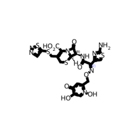 Nc1nc(/C(=N/OCc2cc(=O)c(O)cn2O)C(=O)N[C@@H]2C(=O)N3C(C(=O)O)=C(CSc4cnns4)CS[C@H]23)cs1